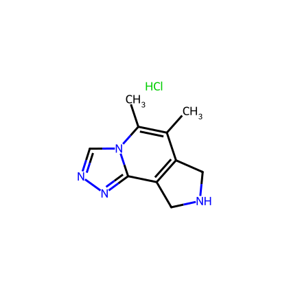 Cc1c2c(c3nncn3c1C)CNC2.Cl